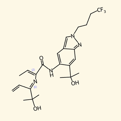 C=C/C(=N\C(=C/C)C(=O)Nc1cc2cn(CCCC(F)(F)F)nc2cc1C(C)(C)O)C(C)(C)O